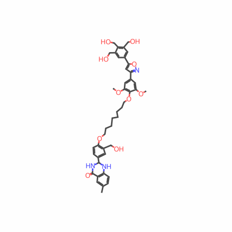 COc1cc(-c2cc(-c3cc(CO)c(CO)c(CO)c3)on2)cc(OC)c1OCCCCCCCCOc1ccc(C2NC(=O)c3cc(C)ccc3N2)cc1CO